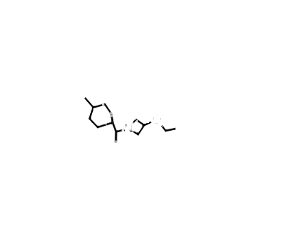 CCOC1CN(C(C)C2CCC(C)CC2)C1